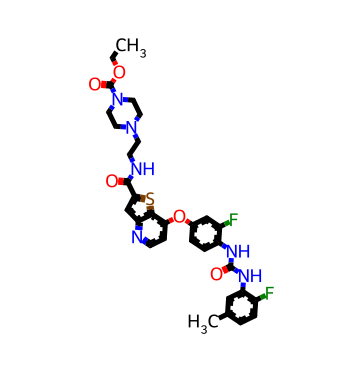 CCOC(=O)N1CCN(CCNC(=O)c2cc3nccc(Oc4ccc(NC(=O)Nc5cc(C)ccc5F)c(F)c4)c3s2)CC1